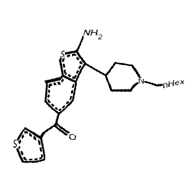 CCCCCCN1CCC(c2c(N)sc3ccc(C(=O)c4ccsc4)cc23)CC1